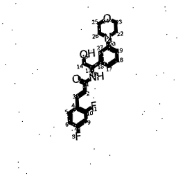 O=C(C=Cc1ccc(F)cc1F)NC(CO)c1cccc(N2CCOCC2)c1